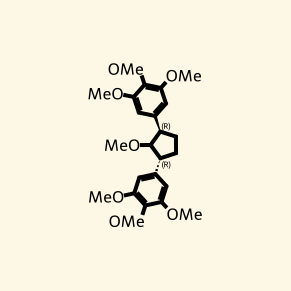 COc1cc([C@H]2CC[C@H](c3cc(OC)c(OC)c(OC)c3)C2OC)cc(OC)c1OC